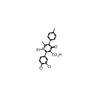 CCn1c(C)c(-c2ccc(C)cc2)c(=O)c(C(=O)O)c1-c1ccc(Cl)c(Cl)c1